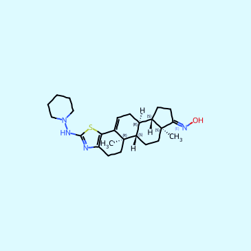 C[C@]12CCc3nc(NN4CCCCC4)sc3C1=CC[C@@H]1[C@@H]2CC[C@]2(C)/C(=N/O)CC[C@@H]12